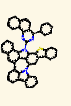 c1ccc(-c2nc(-n3c4c5ccccc5cc5c6cccc7c8ccccc8n(c8cc9c%10ccccc%10sc9c3c8c54)c67)nc3c2ccc2ccccc23)cc1